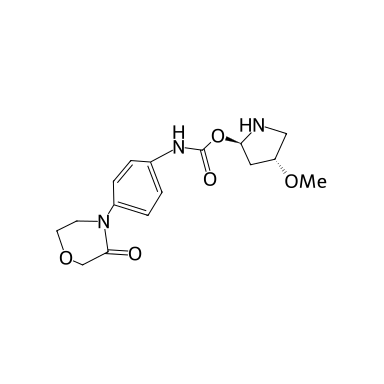 CO[C@H]1CN[C@H](OC(=O)Nc2ccc(N3CCOCC3=O)cc2)C1